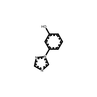 Oc1cccc(-n2cncn2)c1